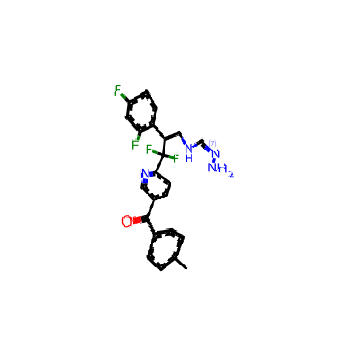 Cc1ccc(C(=O)c2ccc(C(F)(F)C(CN/C=N\N)c3ccc(F)cc3F)nc2)cc1